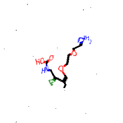 CC(COCCOCCN)C(F)CNC(=O)O